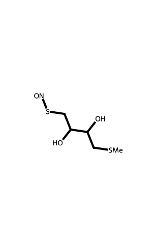 CSCC(O)C(O)CSN=O